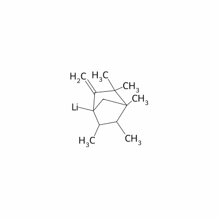 [Li][C]12CC(C)(C(C)C1C)C(C)(C)C2=C